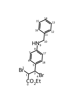 CCOC(=O)C(Br)C(Br)c1ccc(NCc2ccccc2)cc1